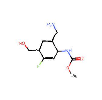 CC(C)(C)OC(=O)NC1C=C(F)C(CO)CC1CN